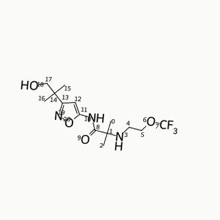 CC(C)(NCCOC(F)(F)F)C(=O)Nc1cc(C(C)(C)CO)no1